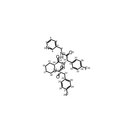 O=C(NCc1cccnc1)[C@@H](NC(=O)[C@@H]1CCCCN1S(=O)(=O)Cc1ccc(F)cc1)c1ccc(F)cc1